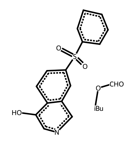 CCC(C)OC=O.O=S(=O)(c1ccccc1)c1ccc2c(O)cncc2c1